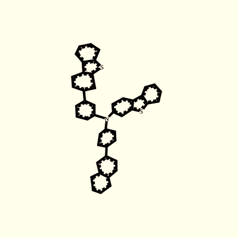 c1cc(-c2ccc3c(c2)sc2ccccc23)cc(N(c2ccc(-c3ccc4ccccc4c3)cc2)c2ccc3c(c2)sc2ccccc23)c1